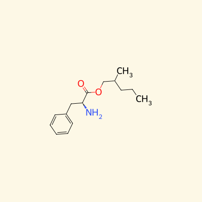 CCCC(C)COC(=O)[C@@H](N)Cc1ccccc1